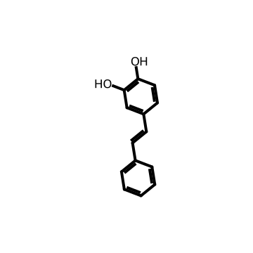 Oc1ccc(C=Cc2ccccc2)cc1O